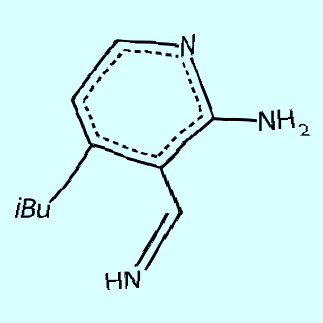 CCC(C)c1ccnc(N)c1C=N